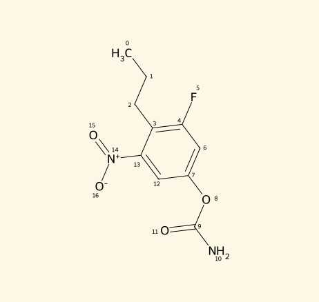 CCCc1c(F)cc(OC(N)=O)cc1[N+](=O)[O-]